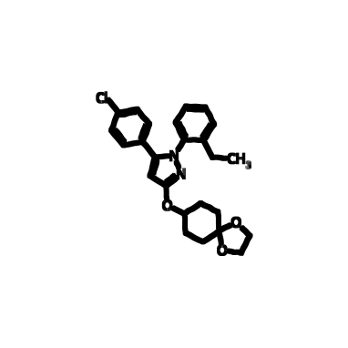 CCc1ccccc1-n1nc(OC2CCC3(CC2)OCCO3)cc1-c1ccc(Cl)cc1